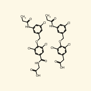 CCC(=O)Nc1cc(Cl)cc(COc2c(Cl)cc(C(=O)NCC(=O)O)cc2Cl)c1.CCC(=O)Nc1cc(Cl)cc(COc2c(Cl)cc(CC(=O)O)cc2Cl)c1